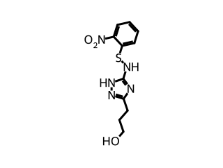 O=[N+]([O-])c1ccccc1SNc1nc(CCCO)n[nH]1